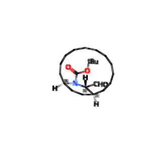 CC(C)(C)OC(=O)N1[C@@H]2CCCCCCCCCCC[C@@H](CC2)[C@H]1C=O